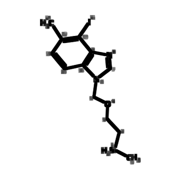 C[SiH2]CCOCn1cnc2c(I)c(C)ccc21